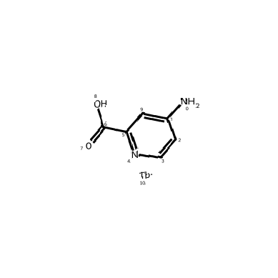 Nc1ccnc(C(=O)O)c1.[Tb]